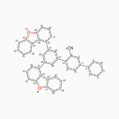 N#Cc1cc(-c2ccccc2)ccc1-c1cc(-c2cccc3oc4ccccc4c23)cc(-c2cccc3oc4ccccc4c23)c1